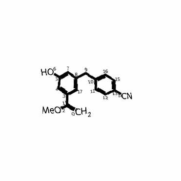 C=C(OC)c1cc(O)cc(Cc2ccc(C#N)cc2)c1